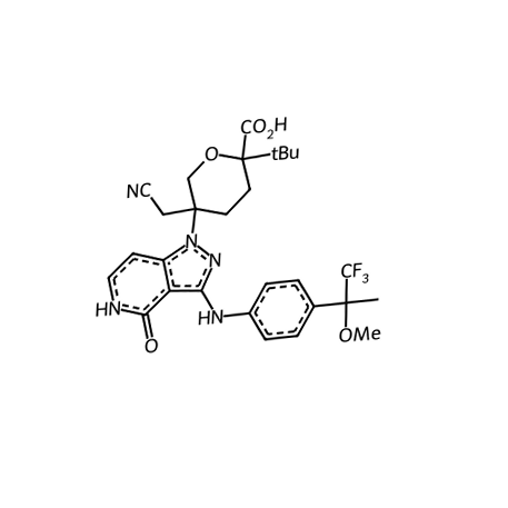 COC(C)(c1ccc(Nc2nn(C3(CC#N)CCC(C(=O)O)(C(C)(C)C)OC3)c3cc[nH]c(=O)c23)cc1)C(F)(F)F